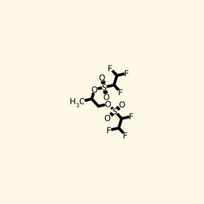 CC(COS(=O)(=O)C(F)C(F)F)OS(=O)(=O)C(F)C(F)F